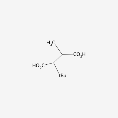 CC(C(=O)O)C(C(=O)O)C(C)(C)C